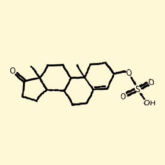 CC12CCC3C(CCC4=CC(OS(=O)(=O)O)CCC43C)C1CCC2=O